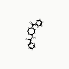 O=C(NC1CCCN(C(=O)c2ccccn2)CC1)c1ccccn1